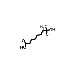 CC(C)(O)CCCCCCC(=O)O